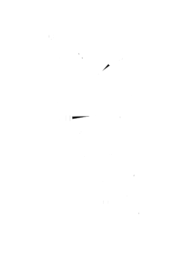 COC(=O)[C@H]1CCC2=C3CC[C@H]4NC(=O)CC[C@]4(C)[C@H]3CC[C@@]21C